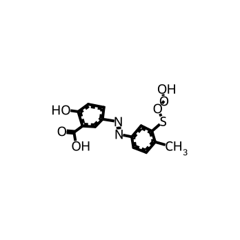 Cc1ccc(N=Nc2ccc(O)c(C(=O)O)c2)cc1SOOO